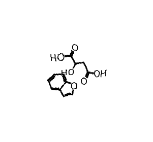 O=C(O)CC(O)C(=O)O.c1ccc2occc2c1